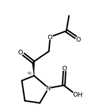 CC(=O)OCC(=O)[C@@H]1CCCN1C(=O)O